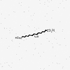 CCCCCCCCCCCCCCCCCCCCCCCC(=O)O.[La]